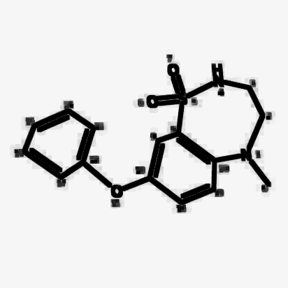 CN1CCNS(=O)(=O)c2cc(Oc3ccccc3)ccc21